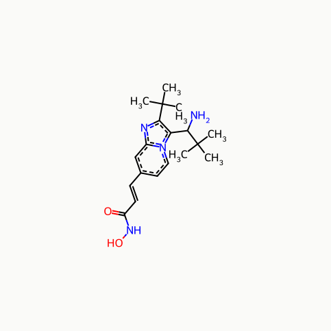 CC(C)(C)c1nc2cc(/C=C/C(=O)NO)ccn2c1C(N)C(C)(C)C